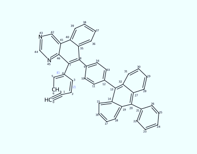 C#C/C=C\C(=C/C)c1c(-c2ccc(-c3c4ccccc4c(-c4ccccc4)c4ccccc34)cc2)c2ccccc2c2cncnc12